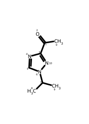 CC(=O)c1ncn(C(C)C)n1